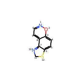 C1=NOc2ccc3c(c2=C1)=NCS3